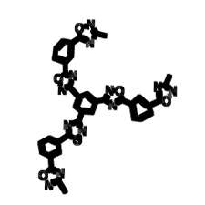 Cc1noc(-c2cccc(-c3nc(-c4cc(-c5noc(-c6cccc(-c7nc(C)no7)c6)n5)cc(-c5noc(-c6cccc(-c7nc(C)no7)c6)n5)c4)no3)c2)n1